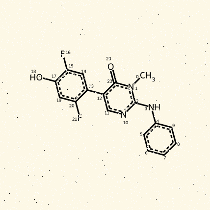 Cn1c(Nc2ccccc2)ncc(-c2cc(F)c(O)cc2F)c1=O